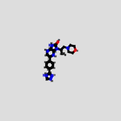 CC(CN1CCOCC1)n1c(=O)[nH]c2ncc(-c3ccc(-c4nnc[nH]4)cc3)nc21